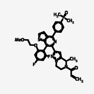 C=CC(=O)N1CCn2nc(-c3nc(-c4ccc(P(C)(C)=O)cc4)c4ccsc4c3-c3c(F)cc(F)cc3OCCOC)cc2[C@H]1C